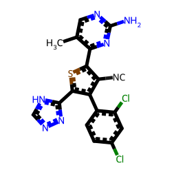 [C-]#[N+]c1c(-c2nc(N)ncc2C)sc(-c2nnc[nH]2)c1-c1ccc(Cl)cc1Cl